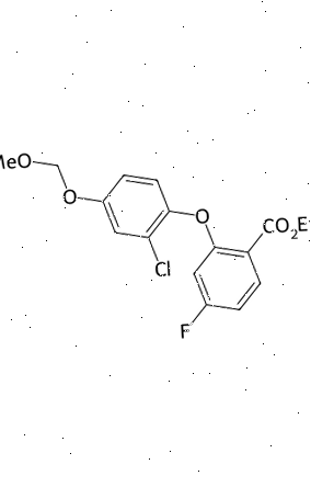 CCOC(=O)c1ccc(F)cc1Oc1ccc(OCOC)cc1Cl